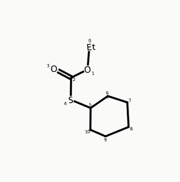 CCOC(=O)SC1[CH]CCCC1